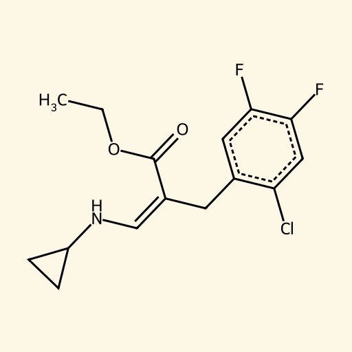 CCOC(=O)C(=CNC1CC1)Cc1cc(F)c(F)cc1Cl